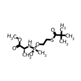 COC(=O)[C@H](C)NP(C)(=O)OCCSC(=O)C(C)(C)C